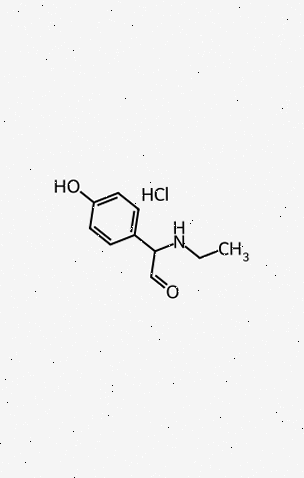 CCNC(C=O)c1ccc(O)cc1.Cl